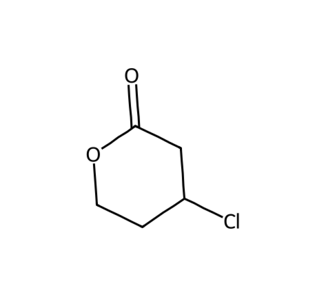 O=C1CC(Cl)CCO1